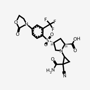 N#CC1(C(N)=O)CC1N1C[C@H](S(=O)(=O)c2ccc(N3CCOC3=O)cc2C(F)(F)F)C[C@H]1C(=O)O